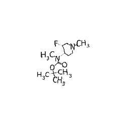 CN1CC[C@H](N(C)C(=O)OC(C)(C)C)[C@H](F)C1